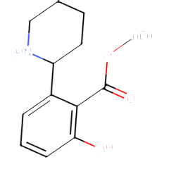 CCCCOC(=O)c1c(O)cccc1C1CCCCN1